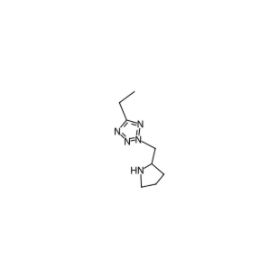 CCc1nnn(CC2CCCN2)n1